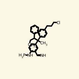 CCC(c1ccccc1)C(C)(c1ccc(CCCCl)cc1)c1ccc(NP)c(C=N)c1